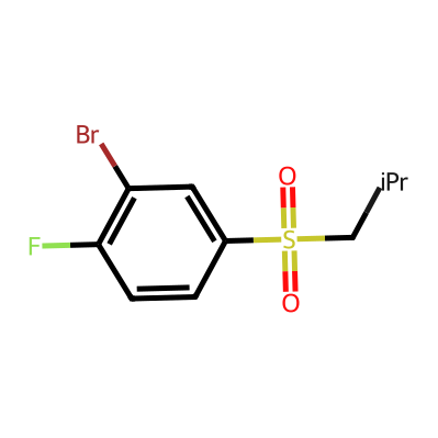 CC(C)CS(=O)(=O)c1ccc(F)c(Br)c1